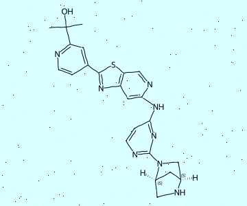 CC(C)(O)c1cc(-c2nc3cc(Nc4ccnc(N5C[C@@H]6C[C@H]5CN6)n4)ncc3s2)ccn1